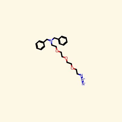 [N-]=[N+]=NCCOCCOCCOCCN(Cc1ccccc1)Cc1ccccc1